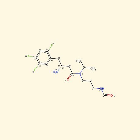 CC(C)N(CCCNC=O)C(=O)C[C@H](N)Cc1cc(F)c(F)cc1F